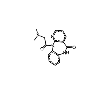 CN(C)CC(=O)N1c2ccccc2NC(=O)c2cccnc21